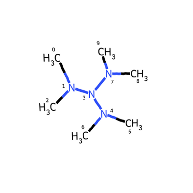 CN(C)N(N(C)C)N(C)C